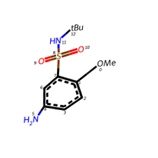 COc1ccc(N)cc1S(=O)(=O)NC(C)(C)C